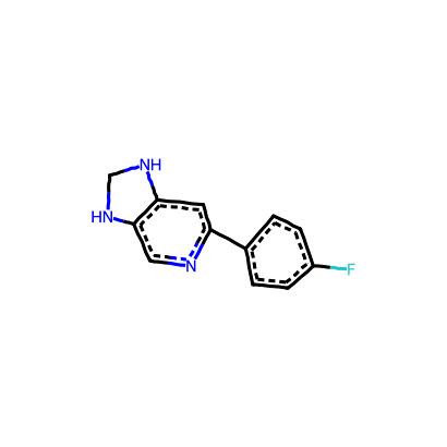 Fc1ccc(-c2cc3c(cn2)NCN3)cc1